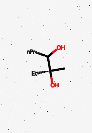 CCCC(O)[C@@](C)(O)CC